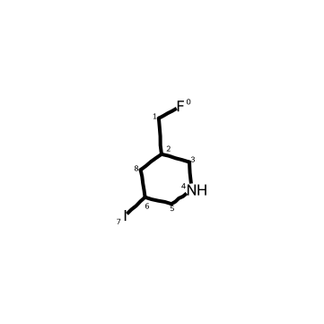 FCC1CNCC(I)C1